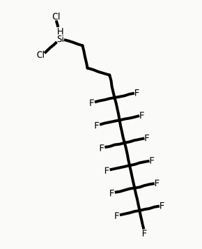 FC(F)(F)C(F)(F)C(F)(F)C(F)(F)C(F)(F)C(F)(F)CCC[SiH](Cl)Cl